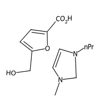 CCCN1C=CN(C)C1.O=C(O)c1ccc(CO)o1